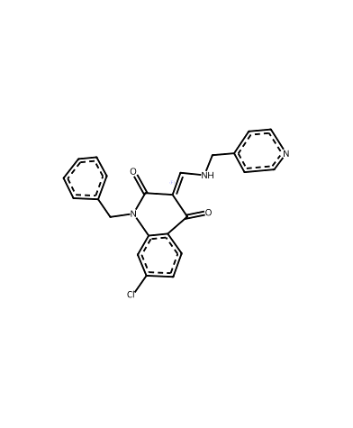 O=C1/C(=C\NCc2ccncc2)C(=O)N(Cc2ccccc2)c2cc(Cl)ccc21